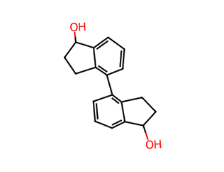 OC1CCc2c(-c3cccc4c3CCC4O)cccc21